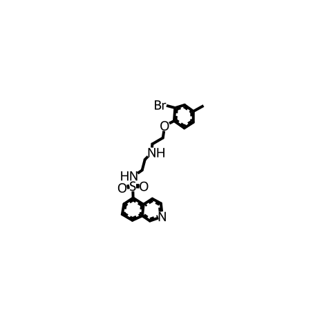 Cc1ccc(OCCNCCNS(=O)(=O)c2cccc3cnccc23)c(Br)c1